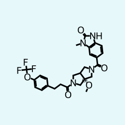 CO[C@]12CN(C(=O)CCc3ccc(OC(F)(F)F)cc3)CC1CN(C(=O)c1ccc3[nH]c(=O)n(C)c3c1)C2